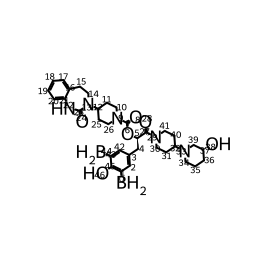 Bc1cc(C[C@@H](OC(=O)N2CCC(N3CCc4ccccc4NC3=O)CC2)C(=O)N2CCC(N3CCC[C@@H](O)C3)CC2)cc(B)c1O